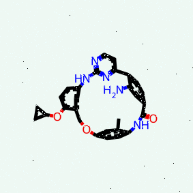 Cc1cc2ccc1NC(=O)c1ccc(c(N)c1)-c1ccnc(n1)Nc1ccc(OC3CC3)c(c1)CO2